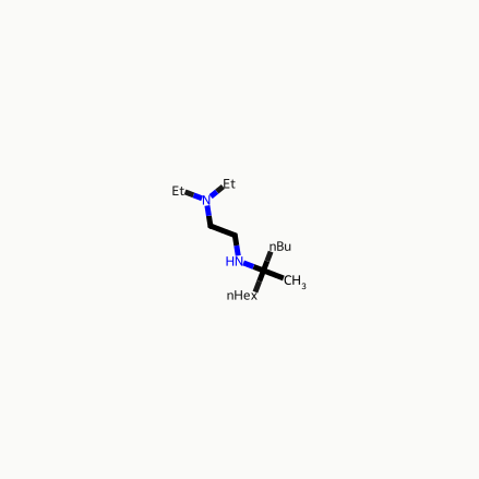 CCCCCCC(C)(CCCC)NCCN(CC)CC